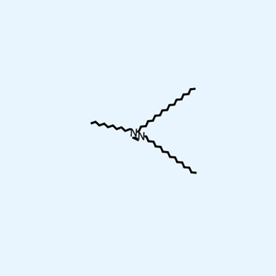 CCCCCCCCCCCCCCCCC1N(CCCCCCCCCC)C=CN1CCCCCCCCCCCCCCC